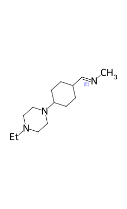 CCN1CCN(C2CCC(/C=N/C)CC2)CC1